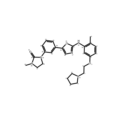 Cc1ccc(OCCN2CCCC2)cc1Nc1ncc(-c2cccc(N3CCN(C)C3=O)c2)o1